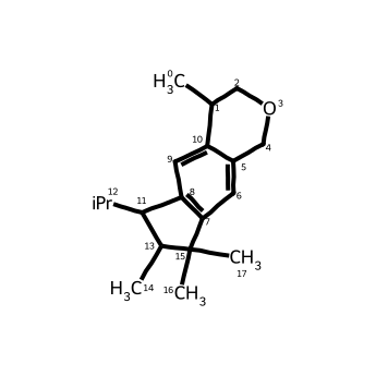 CC1COCc2cc3c(cc21)C(C(C)C)C(C)C3(C)C